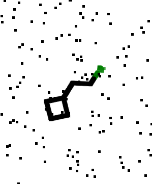 BrCCC1CCC1